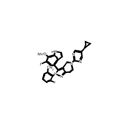 COc1c(F)cc(-c2c3c(nn2-c2c(C)cccc2F)CCN(c2ncc(C4CC4)cn2)C3)c2cc[nH]c12